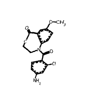 COc1ccc2c(c1)C(=O)CCCN2C(=O)c1ccc(N)cc1Cl